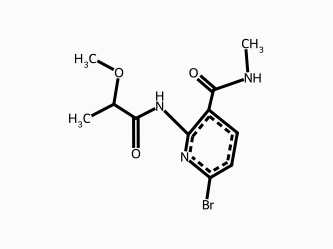 CNC(=O)c1ccc(Br)nc1NC(=O)C(C)OC